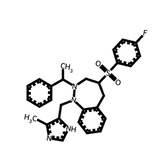 Cc1nc[nH]c1CN1c2ccccc2CC(S(=O)(=O)c2ccc(F)cc2)CN1C(C)c1ccccc1